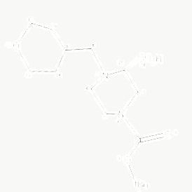 CC(C)(C)OC(=O)N1CCN(CC2CCOCC2)[C@H](C(=O)O)C1